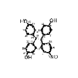 O=Nc1ccc([C@@H](c2ccc(O)cc2)C(c2ccc(O)cc2)c2ccc(O)cc2)cc1